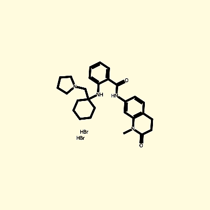 Br.Br.CN1C(=O)CCc2ccc(NC(=O)c3ccccc3NC3(CN4CCCC4)CCCCC3)cc21